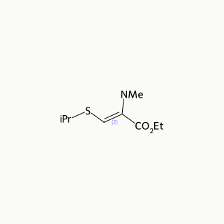 CCOC(=O)/C(=C/SC(C)C)NC